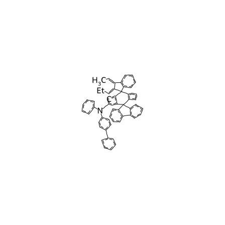 C/C=C1\C(=C/CC)C2(c3ccccc31)c1ccccc1C1(c3ccccc3-c3ccccc31)c1cc(N(c3ccccc3)c3ccc(-c4ccccc4)cc3)ccc12